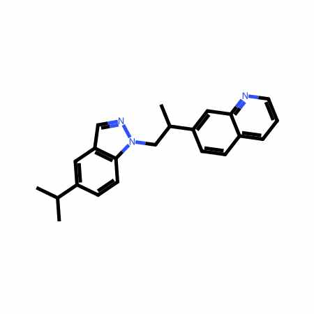 CC(C)c1ccc2c(cnn2CC(C)c2ccc3cccnc3c2)c1